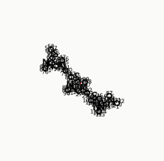 c1ccc(-n2c3ccccc3c3c4c5ccc6sc7c(-c8ccc9c(c8)c8ccc%10c(c%11ccc%12sc%13cc(-c%14ccc(-n%15c%16ccccc%16c%16c%17c%18cc%19sc%20ccccc%20c%19cc%18c%18nc%19ccccc%19n%18c%17ccc%16%15)cc%14)ccc%13c%12c%11c%11nc%12ccccc%12n%10%11)c8n9-c8ccccc8)cccc7c6c5c5nc6ccccc6n5c4ccc32)cc1